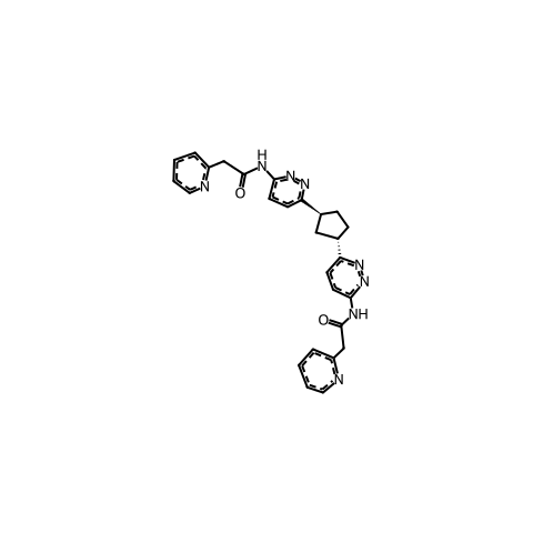 O=C(Cc1ccccn1)Nc1ccc([C@H]2CC[C@H](c3ccc(NC(=O)Cc4ccccn4)nn3)C2)nn1